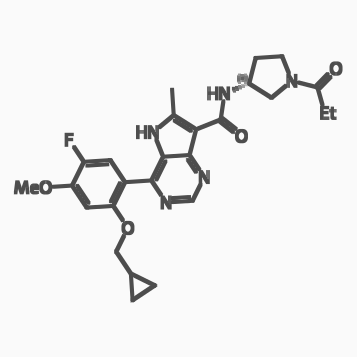 CCC(=O)N1CC[C@@H](NC(=O)c2c(C)[nH]c3c(-c4cc(F)c(OC)cc4OCC4CC4)ncnc23)C1